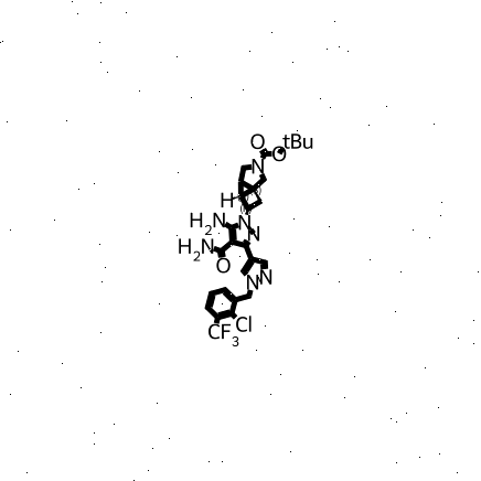 CC(C)(C)OC(=O)N1CC2[C@@H]3[C@H](n4nc(-c5cnn(Cc6cccc(C(F)(F)F)c6Cl)c5)c(C(N)=O)c4N)C[C@]23C1